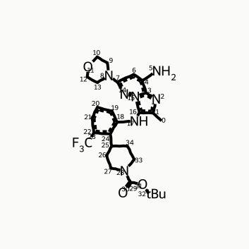 Cc1nc2c(N)cc(N3CCOCC3)nn2c1Nc1cccc(C(F)(F)F)c1C1CCN(C(=O)OC(C)(C)C)CC1